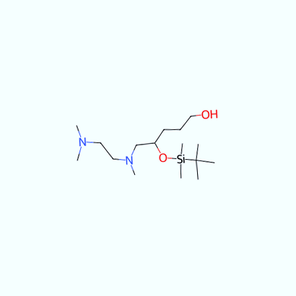 CN(C)CCN(C)CC(CCCO)O[Si](C)(C)C(C)(C)C